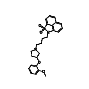 COc1ccccc1OC1CCN(CCCCN2c3cccc4cccc(c34)S2(=O)=O)C1